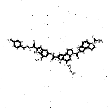 COc1cc(NC(=O)c2cc3c4c(cc(SOOO)c3[nH]2)N(C(=O)c2cc3c5c(ccc3[nH]2)N(C(N)=O)CC5)CC4)cc2cc(C(=O)OCCc3ccc([N+](=O)[O-])cc3)[nH]c12